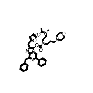 CC(O)N(C)CCN(CCCN1CCOCC1)C(=O)Oc1c(Cc2ccco2)nc2c(Cc3ccccc3)nc(-c3ccccc3)cn12